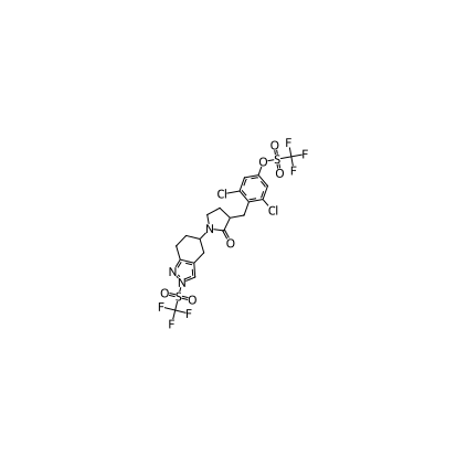 O=C1C(Cc2c(Cl)cc(OS(=O)(=O)C(F)(F)F)cc2Cl)CCN1C1CCc2nn(S(=O)(=O)C(F)(F)F)cc2C1